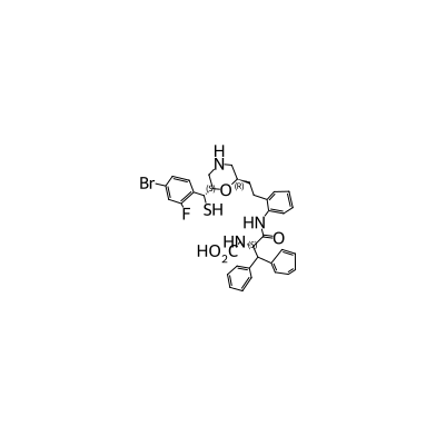 O=C(O)N[C@H](C(=O)Nc1ccccc1CC[C@@H]1CNC[C@@H](C(S)c2ccc(Br)cc2F)O1)C(c1ccccc1)c1ccccc1